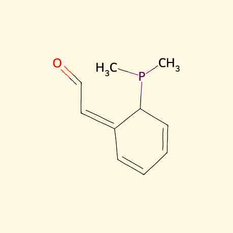 CP(C)C1C=CC=CC1=CC=O